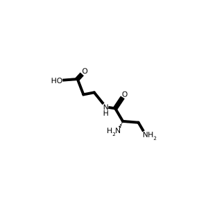 NC[C@H](N)C(=O)NCCC(=O)O